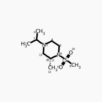 CC(C)N1CCN(S(C)(=O)=O)[C@H](C)C1